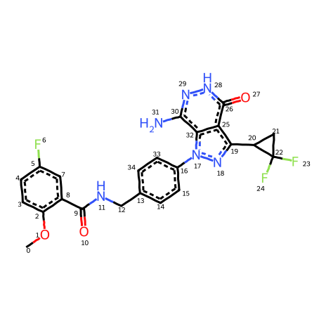 COc1ccc(F)cc1C(=O)NCc1ccc(-n2nc(C3CC3(F)F)c3c(=O)[nH]nc(N)c32)cc1